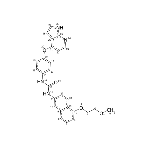 COCCOc1cccc2cc(NC(=O)Nc3ccc(Oc4ccnc5[nH]ccc45)cc3)ccc12